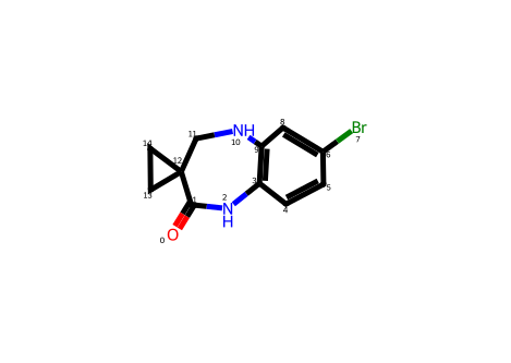 O=C1Nc2ccc(Br)cc2NCC12CC2